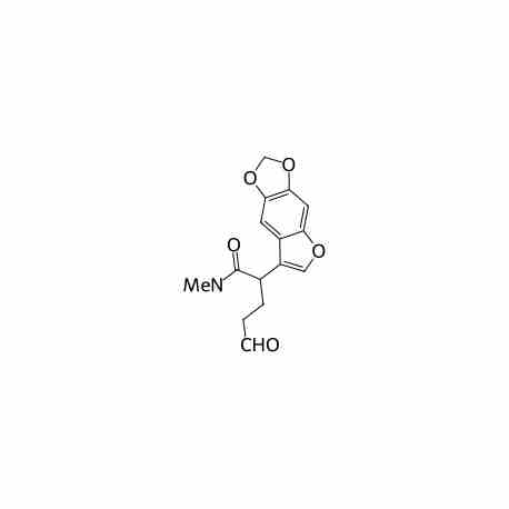 CNC(=O)C(CCC=O)c1coc2cc3c(cc12)OCO3